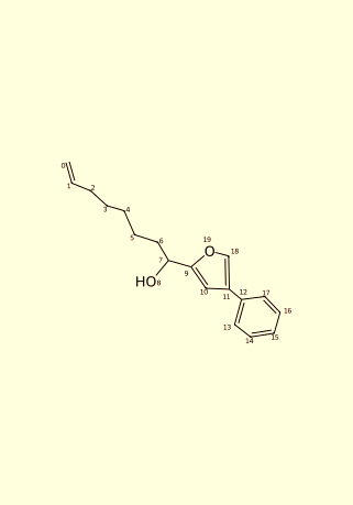 C=CCCCCCC(O)c1cc(-c2ccccc2)co1